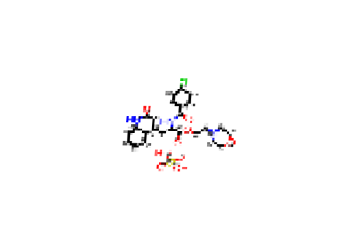 O=C(NC(Cc1cc(=O)[nH]c2ccccc12)C(=O)OCCN1CCOCC1)c1ccc(Cl)cc1.O=S(=O)(O)O